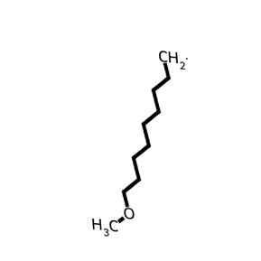 [CH2]CCCCCCCCOC